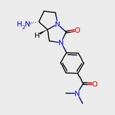 CN(C)C(=O)c1ccc(N2C[C@@H]3[C@H](N)CCN3C2=O)cc1